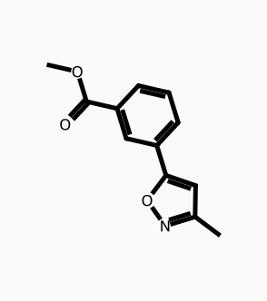 COC(=O)c1cccc(-c2cc(C)no2)c1